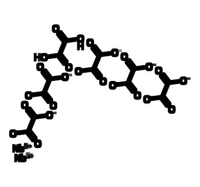 O=C(O)C(=O)O.O=C([O-])C(=O)[O-].O=C([O-])C(=O)[O-].O=C([O-])C(=O)[O-].O=C([O-])C(=O)[O-].O=C([O-])C(=O)[O-].[Nb+5].[Nb+5]